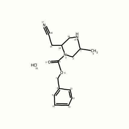 CC1CN(C(=O)OCc2ccccc2)C(CC#N)CN1.Cl